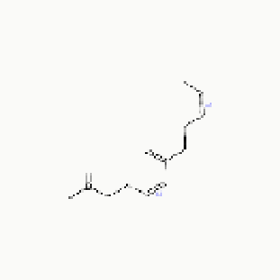 C=C(/C=C\CCBC)CC/C=C\C